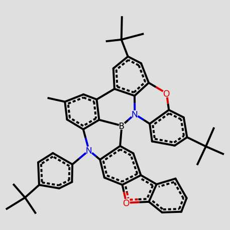 Cc1cc2c3c(c1)N(c1ccc(C(C)(C)C)cc1)c1cc4oc5ccccc5c4cc1B3N1c3ccc(C(C)(C)C)cc3Oc3cc(C(C)(C)C)cc-2c31